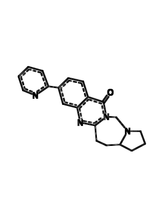 O=c1c2ccc(-c3ccccn3)cc2nc2n1CN1CCCC1CC2